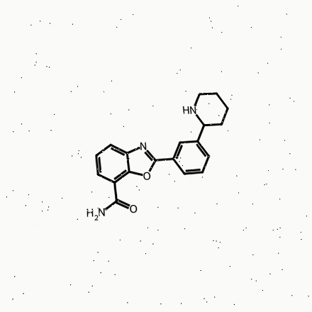 NC(=O)c1cccc2nc(-c3cccc(C4CCCCN4)c3)oc12